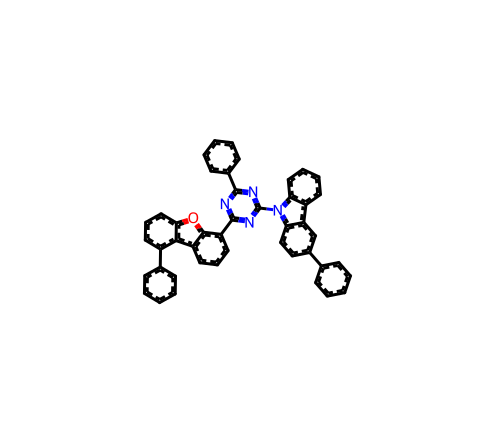 c1ccc(-c2ccc3c(c2)c2ccccc2n3-c2nc(-c3ccccc3)nc(-c3cccc4c3oc3cccc(-c5ccccc5)c34)n2)cc1